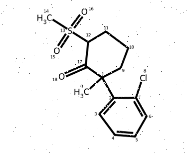 CC1(c2ccccc2Cl)CCCC(S(C)(=O)=O)C1=O